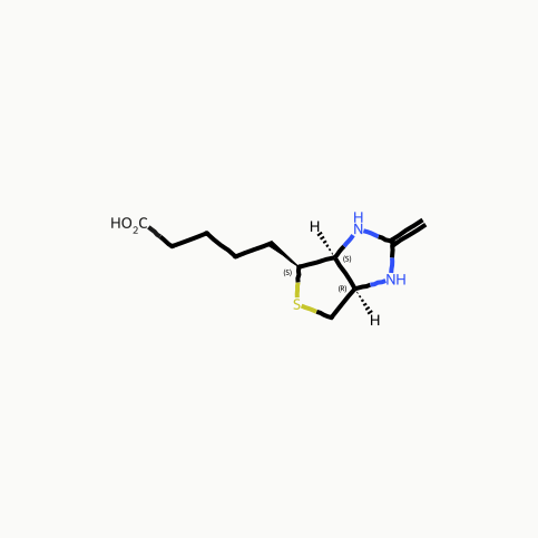 C=C1N[C@H]2[C@H](CS[C@H]2CCCCC(=O)O)N1